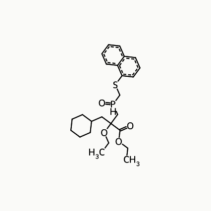 CCOC(=O)C(CC1CCCCC1)(C[PH](=O)CSc1cccc2ccccc12)OCC